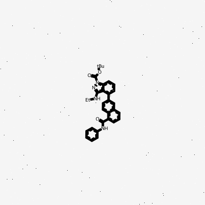 CCNc1nn(C(=O)OC(C)(C)C)c2cccc(-c3ccc4c(C(=O)Nc5ccccc5)cccc4c3)c12